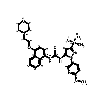 COc1ccc(-n2nc([Si](C)(C)C)cc2NC(=O)Nc2ccc(OCCN3CCOCC3)c3ccccc23)cn1